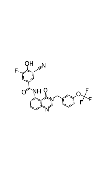 N#Cc1cc(C(=O)Nc2cccc3ncn(Cc4cccc(OC(F)(F)F)c4)c(=O)c23)cc(F)c1O